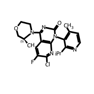 Cc1ccnc(C(C)C)c1-n1c(=O)nc(N2CCOC[C@@H]2C)c2cc(F)c(Cl)nc21